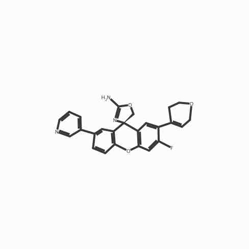 NC1=N[C@@]2(CO1)c1cc(-c3cccnc3)ccc1Oc1cc(F)c(C3=CCOCC3)cc12